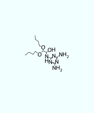 CCCCOC(OCCCC)C(O)Nc1nc(N)nc(N)n1